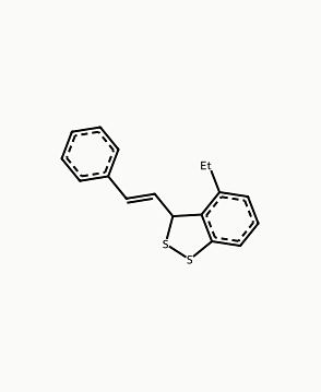 CCc1cccc2c1C(C=Cc1ccccc1)SS2